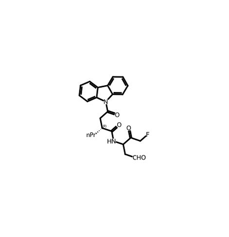 CCC[C@H](CC(=O)n1c2ccccc2c2ccccc21)C(=O)NC(CC=O)C(=O)CF